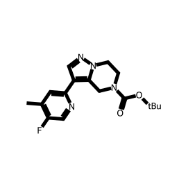 Cc1cc(-c2cnn3c2CN(C(=O)OC(C)(C)C)CC3)ncc1F